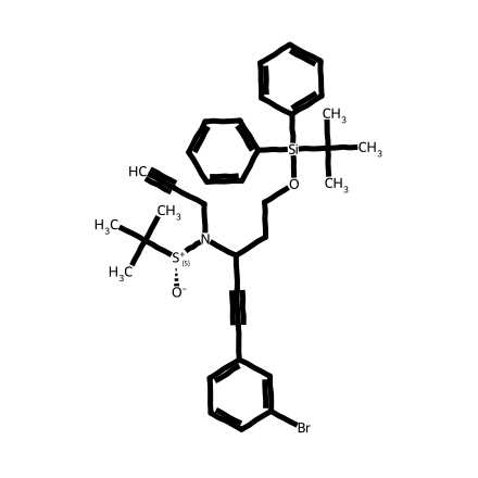 C#CCN(C(C#Cc1cccc(Br)c1)CCO[Si](c1ccccc1)(c1ccccc1)C(C)(C)C)[S@+]([O-])C(C)(C)C